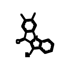 Cc1cc2c(cc1C)-n1c(c(Br)c3ccccc31)C2=O